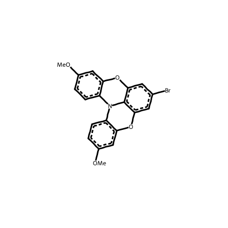 COc1ccc2c(c1)Oc1cc(Br)cc3c1N2c1ccc(OC)cc1O3